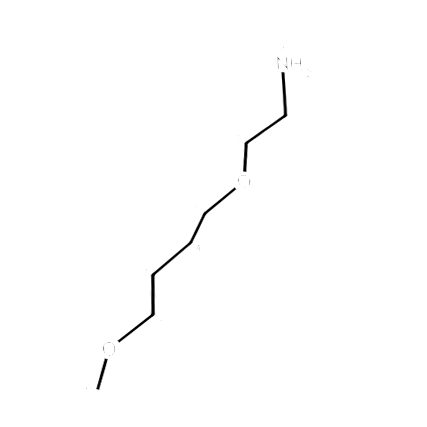 COCCCCOCCN